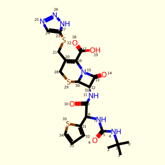 CC(C)(C)NC(=O)NC(C(=O)N[C@H]1C(=O)N2C(C(=O)O)=C(CSc3cnn[nH]3)CSC12)c1cccs1